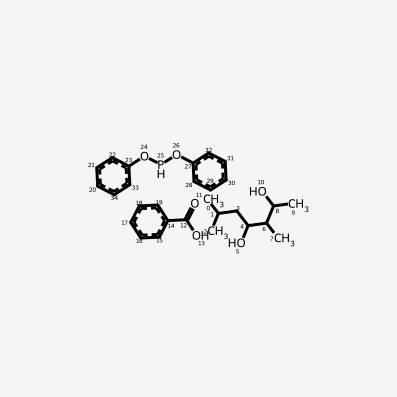 CC(C)CC(O)C(C)C(C)O.O=C(O)c1ccccc1.c1ccc(OPOc2ccccc2)cc1